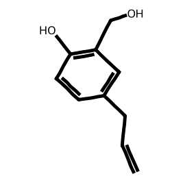 C=CCc1ccc(O)c(CO)c1